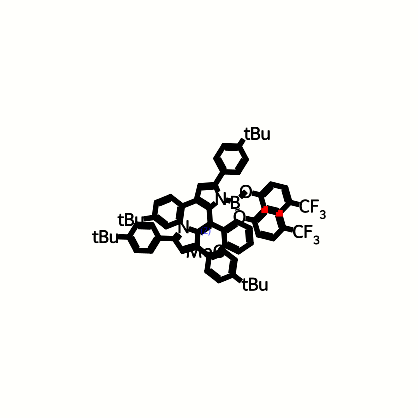 COc1ccccc1/C(=C1/N=C(c2ccc(C(C)(C)C)cc2)C=C1c1ccc(C(C)(C)C)cc1)c1c(-c2ccc(C(C)(C)C)cc2)cc(-c2ccc(C(C)(C)C)cc2)n1B(Oc1ccc(C(F)(F)F)cc1)Oc1ccc(C(F)(F)F)cc1